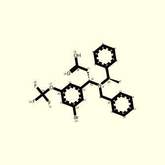 C[C@H](c1ccccc1)N(Cc1ccccc1)[C@@H](CC(=O)O)c1cc(Br)cc(OC(F)(F)F)c1